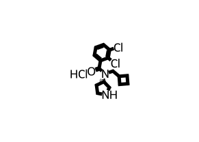 Cl.O=C(c1cccc(Cl)c1Cl)N(CC1CCC1)[C@H]1CCNC1